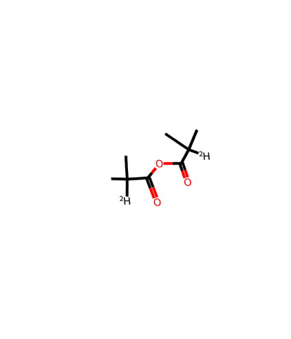 [2H]C(C)(C)C(=O)OC(=O)C([2H])(C)C